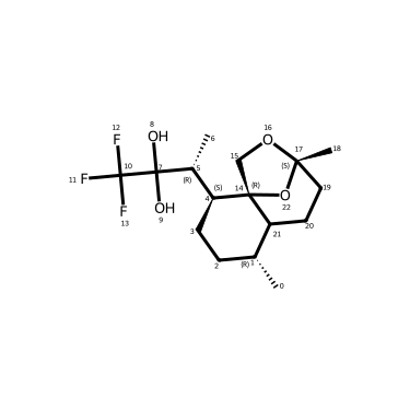 C[C@@H]1CC[C@@H]([C@@H](C)C(O)(O)C(F)(F)F)[C@@]23CO[C@](C)(CCC12)O3